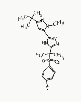 Cn1nc(C(C)(C)C)cc1-c1nnc(C(C)(C)S(=O)(=O)c2ccc(F)cc2)[nH]1